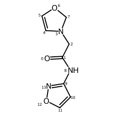 O=C(CN1C=COC1)Nc1ccon1